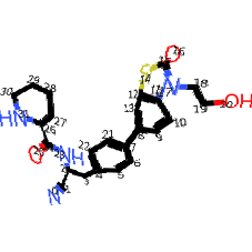 N#C[C@H](Cc1ccc(-c2ccc3c(c2)sc(=O)n3CCO)cc1)NC(=O)[C@@H]1CCCCN1